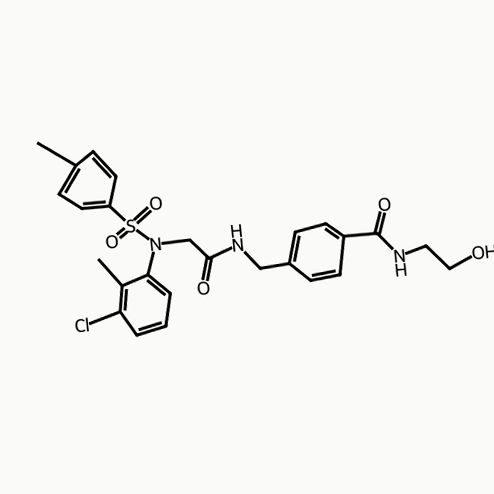 Cc1ccc(S(=O)(=O)N(CC(=O)NCc2ccc(C(=O)NCCO)cc2)c2cccc(Cl)c2C)cc1